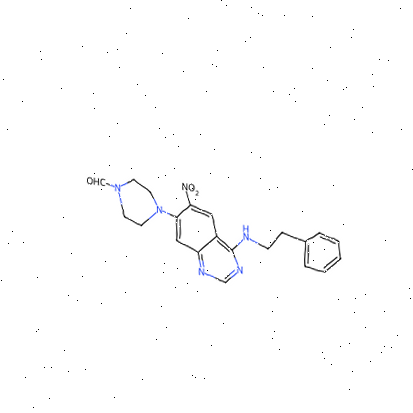 O=CN1CCN(c2cc3ncnc(NCCc4ccccc4)c3cc2[N+](=O)[O-])CC1